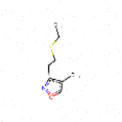 CCSCCc1nocc1C